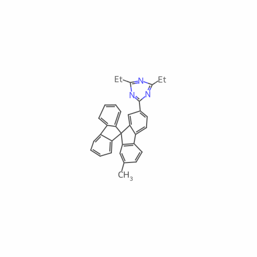 CCc1nc(CC)nc(-c2ccc3c(c2)C2(c4ccccc4-c4ccccc42)c2cc(C)ccc2-3)n1